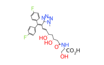 Cn1nnnc1C(C=C[C@@H](O)C[C@@H](O)CC(=O)N[C@@H](CO)C(=O)O)=C(c1ccc(F)cc1)c1ccc(F)cc1